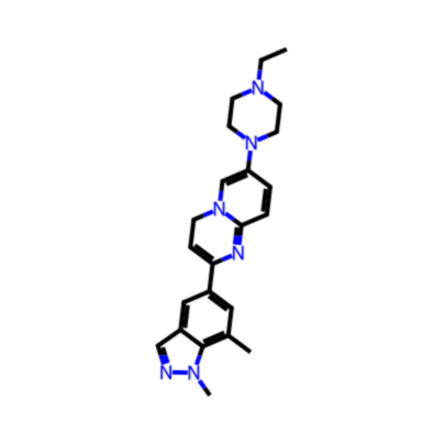 CCN1CCN(C2=CN3CC=C(c4cc(C)c5c(cnn5C)c4)N=C3C=C2)CC1